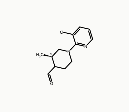 C[C@H]1CN(c2ncccc2Cl)CCC1C=O